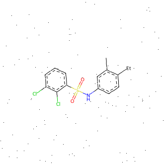 CCc1ccc(NS(=O)(=O)c2cccc(Cl)c2Cl)cc1C